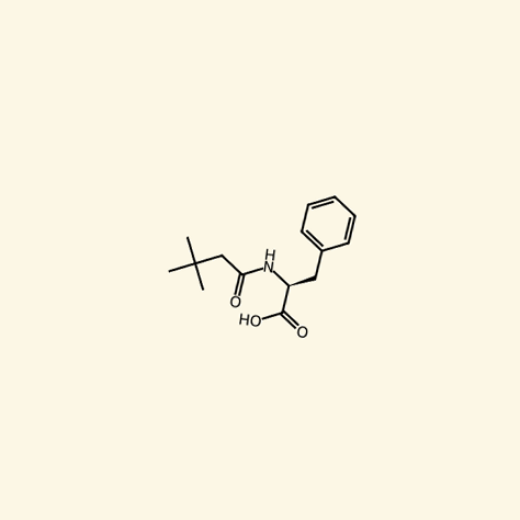 CC(C)(C)CC(=O)N[C@@H](Cc1ccccc1)C(=O)O